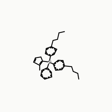 CCCCc1ccc([Si](C2=C(C)C=CC2)(c2ccccc2)c2ccc(CCCC)cc2)cc1